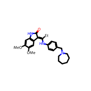 CCC(Nc1ccc(CN2CCCCCC2)cc1)=C1C(=O)Nc2cc(OC)c(OC)cc21